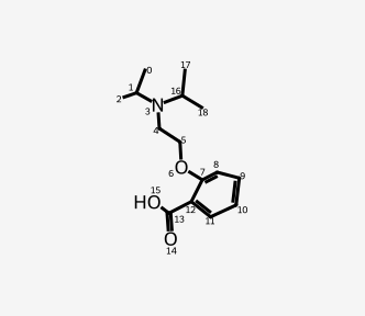 CC(C)N(CCOc1ccccc1C(=O)O)C(C)C